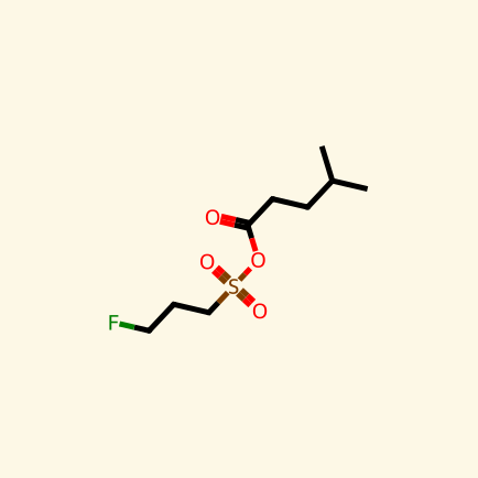 CC(C)CCC(=O)OS(=O)(=O)CCCF